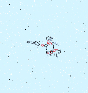 COCOc1cc(OCc2ccc(OC)cc2)cc2c1C(=O)O[C@@H](C)[C@H](C)/C=C\C(OC(=O)c1ccccc1)[C@H]1OC(C)(C)O[C@H]1C/C=C/2